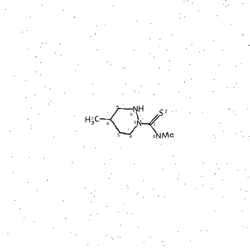 CNC(=S)N1CCC(C)CN1